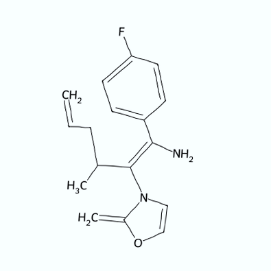 C=CCC(C)/C(=C(/N)c1ccc(F)cc1)N1C=COC1=C